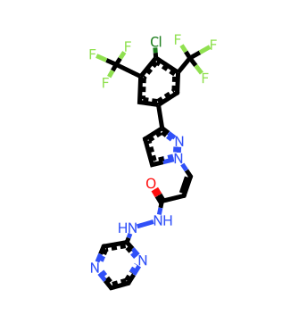 O=C(/C=C\n1ccc(-c2cc(C(F)(F)F)c(Cl)c(C(F)(F)F)c2)n1)NNc1cnccn1